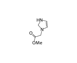 COC(=O)CN1C=CNC1